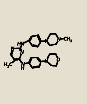 Cc1cnc(Nc2ccc(N3CCN(C)CC3)cc2)nc1Nc1ccc(N2CCOCC2)cc1